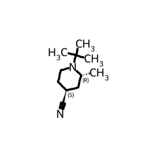 C[C@@H]1C[C@@H](C#N)CCN1C(C)(C)C